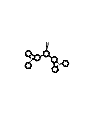 N#Cc1cc(-c2ccc3c(c2)c2ccccc2n3-c2ccccc2)cc(-c2ccc3c(c2)c2ccccc2n3-c2ccccc2)c1